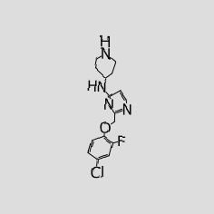 Fc1cc(Cl)ccc1OCc1nccc(NC2CCNCC2)n1